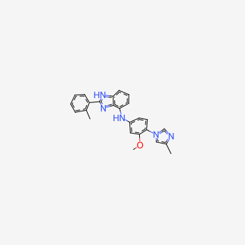 COc1cc(Nc2cccc3[nH]c(-c4ccccc4C)nc23)ccc1-n1cnc(C)c1